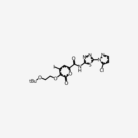 CC(C)(C)OCCOc1c(I)cc(C(=O)Nc2nnc(-n3nccc3Cl)s2)oc1=O